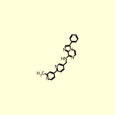 Cc1cc(-c2ccc(CNc3nccn4c(-c5ccccc5)cnc34)cn2)ccn1